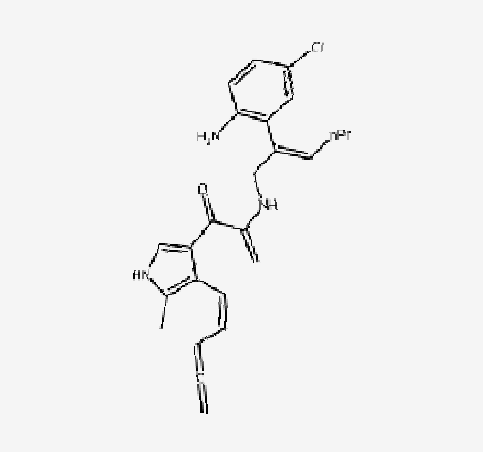 C=C=C/C=C\c1c(C(=O)C(=C)NC/C(=C/CCC)c2cc(Cl)ccc2N)c[nH]c1C